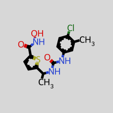 Cc1cc(NC(=O)NC(C)c2ccc(C(=O)NO)s2)ccc1Cl